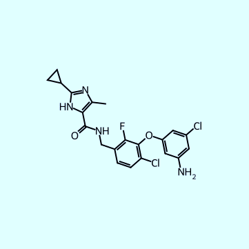 Cc1nc(C2CC2)[nH]c1C(=O)NCc1ccc(Cl)c(Oc2cc(N)cc(Cl)c2)c1F